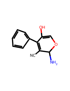 N#CC1=C(c2ccccc2)C(O)=COC1N